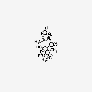 CC[C@@H]1CN(Cc2cc(C(CC(=O)O)c3cc(OC(F)F)c4c(nnn4C)c3C)cc3ccsc23)S(=O)(=O)c2cc(Cl)cnc2O1